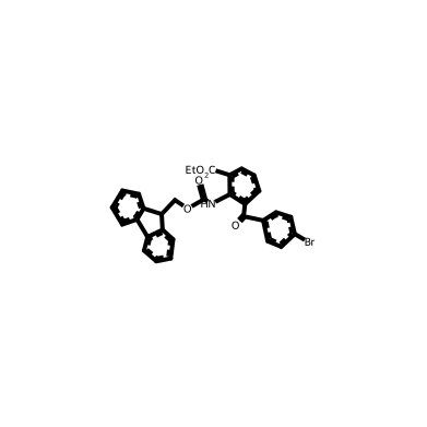 CCOC(=O)c1cccc(C(=O)c2ccc(Br)cc2)c1NC(=O)OCC1c2ccccc2-c2ccccc21